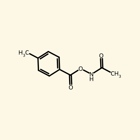 CC(=O)NOC(=O)c1ccc(C)cc1